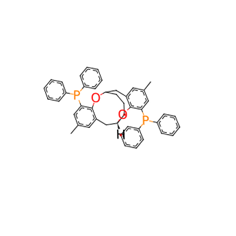 Cc1cc2c(c(P(c3ccccc3)c3ccccc3)c1)OC1CCC[C@H](C2)Oc2c(cc(C)cc2P(c2ccccc2)c2ccccc2)C1